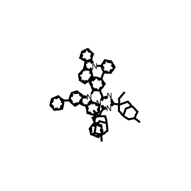 CCC1(c2nc(-c3cc(-c4ccccc4-n4c5ccccc5c5ccccc54)ccc3-n3c4ccc(-c5ccccc5)cc4c4cc(-c5ccccc5)ccc43)nc(C3(C)CC4CC(C)CC(C4)C3)n2)CC2CC(C)CC(C2)C1